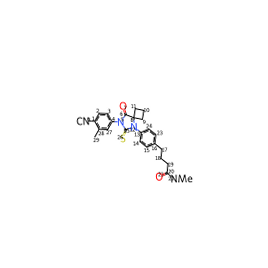 [C-]#[N+]c1ccc(N2C(=O)C3(CCC3)N(c3ccc(CCCC(=O)NC)cc3)C2=S)cc1C